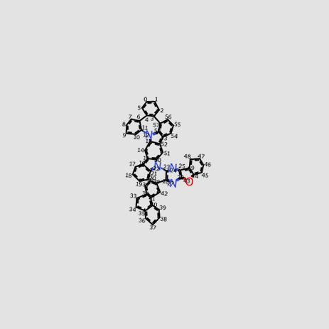 c1ccc2c(c1)-c1ccccc1-n1c3cc4c5ccccc5n(-c5nc6c(nc5-c5ccc7ccc8ccccc8c7c5)oc5ccccc56)c4cc3c3cccc-2c31